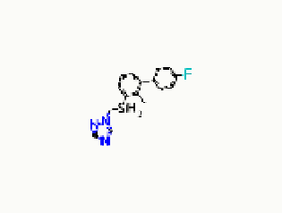 Cc1c([SiH2]Cn2cncn2)cccc1-c1ccc(F)cc1